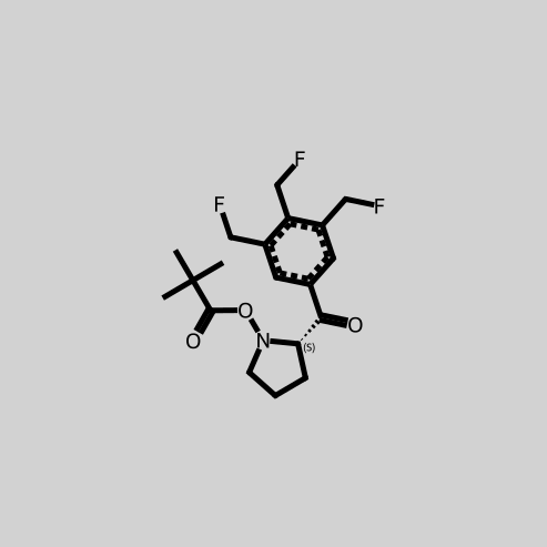 CC(C)(C)C(=O)ON1CCC[C@H]1C(=O)c1cc(CF)c(CF)c(CF)c1